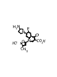 Cc1cc(-n2cc(C(=O)O)c(=O)c3cc(F)c(N4CCC(N)C4)cc32)on1.Cl